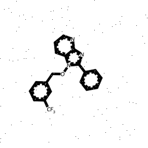 FC(F)(F)c1cccc(COn2c(-c3ccccc3)nc3ncccc32)c1